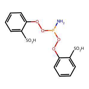 NP(OOc1ccccc1S(=O)(=O)O)OOc1ccccc1S(=O)(=O)O